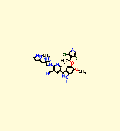 COc1cc2[nH]nc(-c3cnc(N4CC(N)(Cc5ccnn5C)C4)c(C#N)c3)c2cc1O[C@H](C)c1c(Cl)cncc1Cl